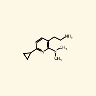 CN(C)c1nc(C2CC2)ccc1CCN